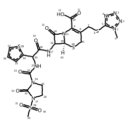 Cn1nnnc1SCC1=C(C(=O)O)N2C(=O)C(NC(=O)C(NC(=O)N3CCN(S(C)(=O)=O)C3=O)c3cccs3)[C@@H]2SC1